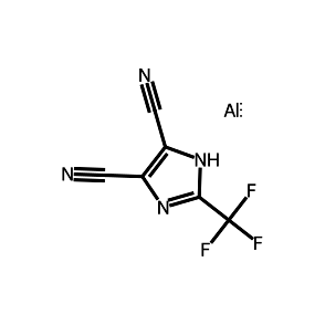 N#Cc1nc(C(F)(F)F)[nH]c1C#N.[Al]